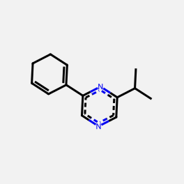 CC(C)c1cncc(C2=CCCC=C2)n1